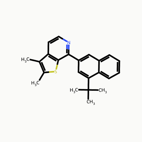 Cc1sc2c(-c3cc(C(C)(C)C)c4ccccc4c3)nccc2c1C